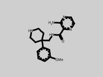 COc1cccc(C2(CNC(=O)c3nccnc3N)CCNCC2)c1